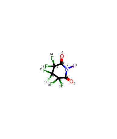 O=C1N(I)C(=O)C(F)(F)C(F)(F)C1(F)F